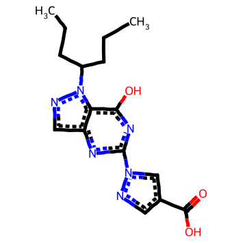 CCCC(CCC)n1ncc2nc(-n3cc(C(=O)O)cn3)nc(O)c21